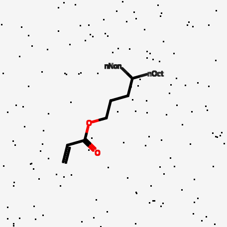 C=CC(=O)OCCCC(CCCCCCCC)CCCCCCCCC